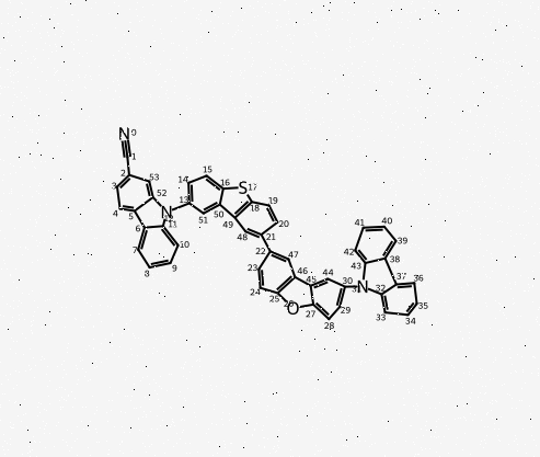 N#Cc1ccc2c3ccccc3n(-c3ccc4sc5ccc(-c6ccc7oc8ccc(-n9c%10ccccc%10c%10ccccc%109)cc8c7c6)cc5c4c3)c2c1